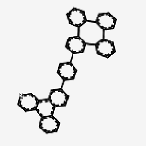 c1ccc2c(c1)-c1ccccc1-c1ccc(-c3ccc(-c4ccc5c6ccccc6c6ccncc6c5c4)cc3)cc1-c1ccccc1-2